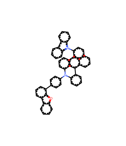 c1cc(-c2ccccc2-n2c3ccccc3c3ccccc32)cc(N(c2ccc(-c3cccc4c3oc3ccccc34)cc2)c2ccccc2-c2cccc3ccccc23)c1